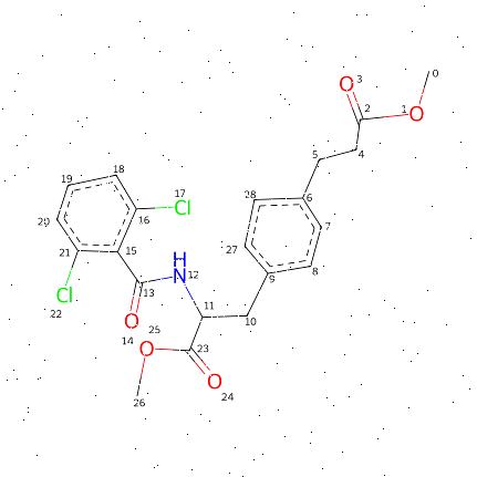 COC(=O)CCc1ccc(CC(NC(=O)c2c(Cl)cccc2Cl)C(=O)OC)cc1